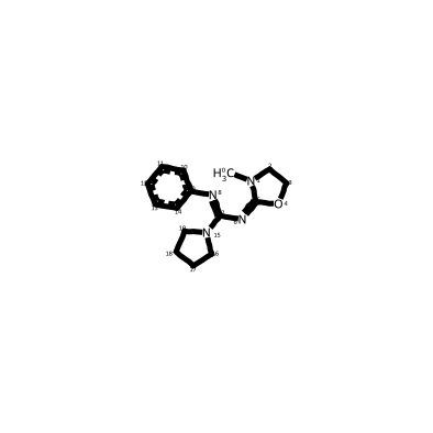 CN1CCO/C1=N/C(=N/c1ccccc1)N1CCCC1